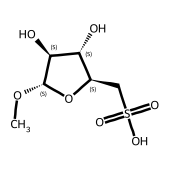 CO[C@H]1O[C@H](CS(=O)(=O)O)[C@@H](O)[C@@H]1O